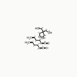 C=CCCN=C=O.C=CCCN=C=O.OCC(CO)(CO)CO